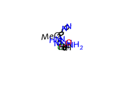 COc1cc(CN2CCN(C)CC2)ccc1-c1nc2c(N[C@H]3[C@@H](C(N)=O)[C@@H]4C=C[C@H]3C4)c(Cl)cnc2[nH]1